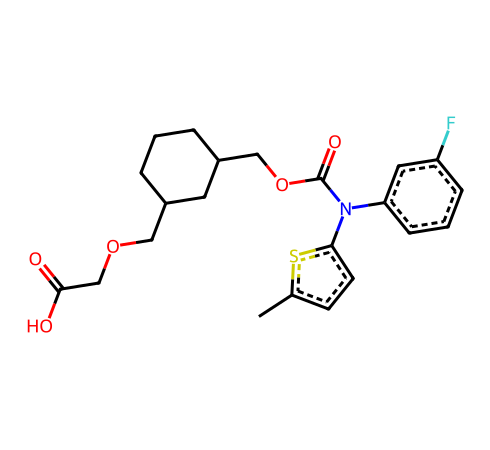 Cc1ccc(N(C(=O)OCC2CCCC(COCC(=O)O)C2)c2cccc(F)c2)s1